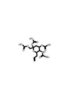 C=CCC1OC(COC(=O)CCC)(OC(=O)CCC)CC(OC(=O)CCC)C1NC(=O)C(C)(C)C